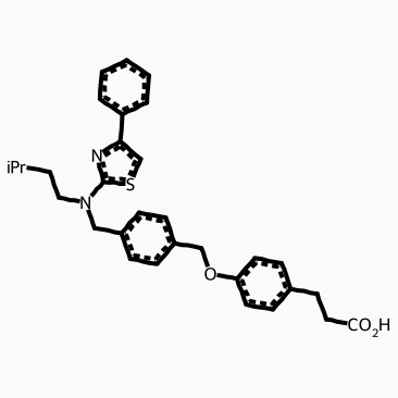 CC(C)CCN(Cc1ccc(COc2ccc(CCC(=O)O)cc2)cc1)c1nc(-c2ccccc2)cs1